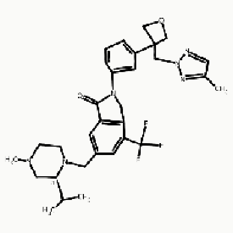 Cc1cnn(CC2(c3cccc(N4Cc5c(cc(CN6CCN(C)C[C@@H]6C(C)C)cc5C(F)(F)F)C4=O)c3)COC2)n1